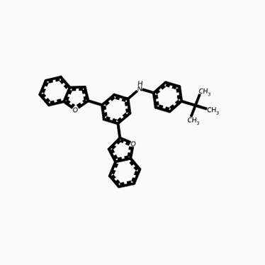 CC(C)(C)c1ccc(Nc2cc(-c3cc4ccccc4o3)cc(-c3cc4ccccc4o3)c2)cc1